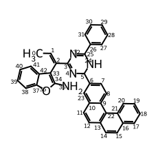 C/C=C(/C1=NC(c2ccc3c(ccc4ccc5ccccc5c43)c2)NC(c2ccccc2)=N1)c1c(N)oc2ccccc12